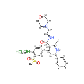 Cc1nc(-c2ccccc2)cc(-c2cccc(S(C)(=O)=O)c2)c1C(=O)NCCN1CCOCC1.Cl.Cl